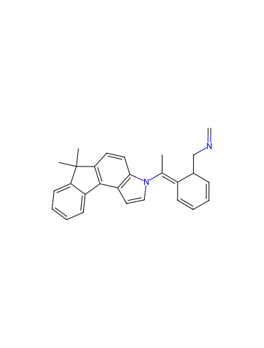 C=NCC1C=CC=C/C1=C(/C)n1ccc2c3c(ccc21)C(C)(C)c1ccccc1-3